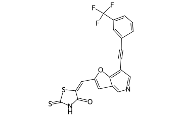 O=C1NC(=S)S/C1=C/c1cc2cncc(C#Cc3cccc(C(F)(F)F)c3)c2o1